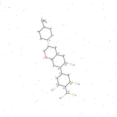 CC1CCC([C@H]2COC3CC(C4CC(F)C(C(F)F)C(F)C4)C(F)CC3C2)CC1